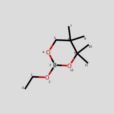 CCOB1OCC(C)(C)C(C)(C)O1